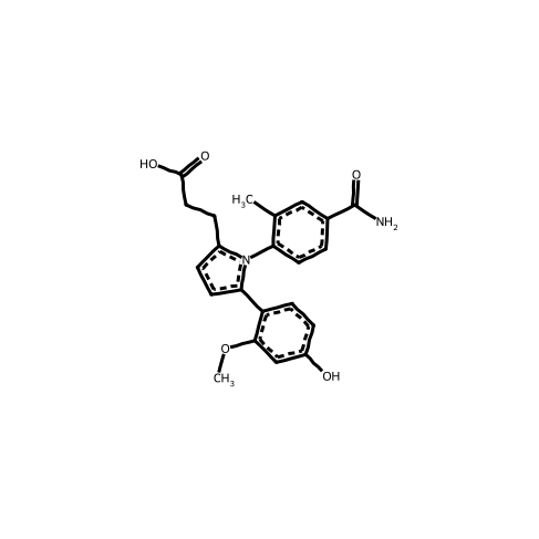 COc1cc(O)ccc1-c1ccc(CCC(=O)O)n1-c1ccc(C(N)=O)cc1C